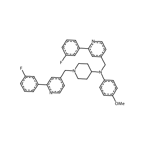 COc1ccc(N(Cc2ccnc(-c3cccc(F)c3)c2)C2CCN(Cc3ccnc(-c4cccc(F)c4)c3)CC2)cc1